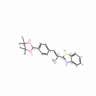 CC1(C)OC(c2ccc(/C=C(\C#N)c3nc4ccccc4s3)cc2)OC1(C)C